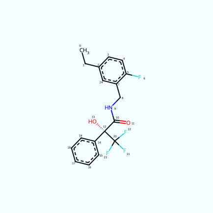 CCc1ccc(F)c(CNC(=O)[C@](O)(c2ccccc2)C(F)(F)F)c1